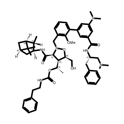 COc1c(CN2O[C@@H](CO)[C@@H]([C@H](C)OC(=O)NCCc3ccccc3)[C@H]2C(=O)N[C@H]2C[C@H]3C[C@@H]([C@@H]2C)C3(C)C)cccc1-c1cc(C(=O)N[C@@H](Cc2ccccc2)CN(C)C)cc(N(C)C)c1